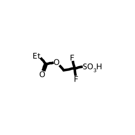 CCC(=O)OCC(F)(F)S(=O)(=O)O